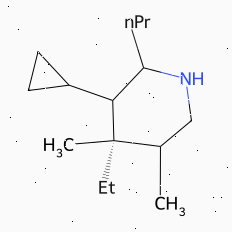 CCCC1NCC(C)[C@](C)(CC)C1C1CC1